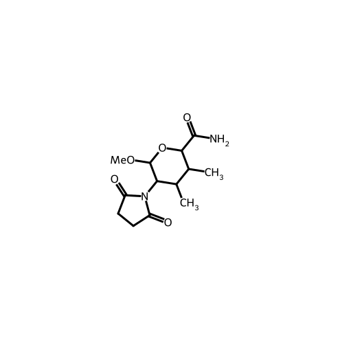 COC1OC(C(N)=O)C(C)C(C)C1N1C(=O)CCC1=O